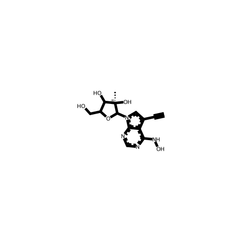 C#Cc1cn(C2OC(CO)C(O)[C@@]2(C)O)c2ncnc(NO)c12